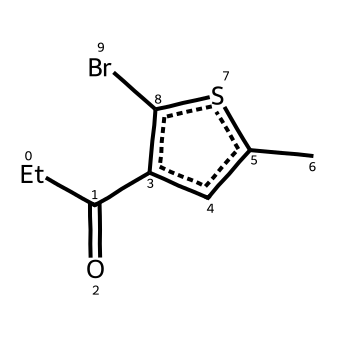 CCC(=O)c1cc(C)sc1Br